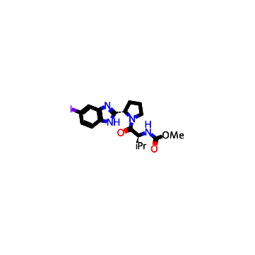 COC(=O)N[C@@H](C(=O)N1CCC[C@H]1c1nc2cc(I)ccc2[nH]1)C(C)C